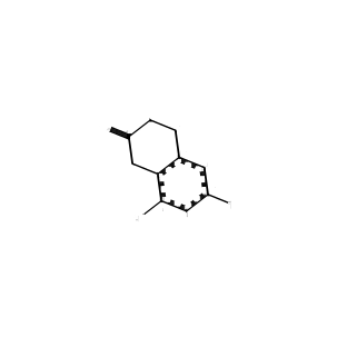 O=C1CCc2cc(F)cc(Br)c2C1